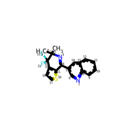 CC1(C)N=C(c2cnc3ccccc3c2)c2sccc2C1(F)F